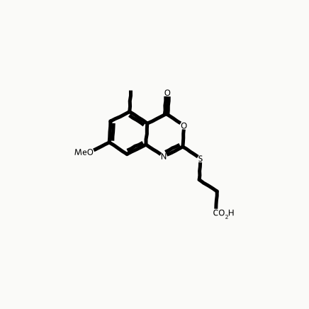 COc1cc(C)c2c(=O)oc(SCCC(=O)O)nc2c1